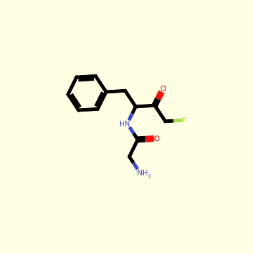 NCC(=O)NC(Cc1ccccc1)C(=O)CF